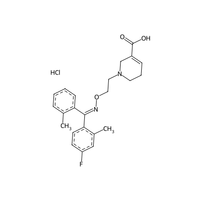 Cc1ccccc1/C(=N\OCCN1CCC=C(C(=O)O)C1)c1ccc(F)cc1C.Cl